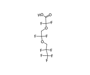 O=C(O)C(F)(F)OCC(F)(F)OCC(F)(F)C(F)(F)F